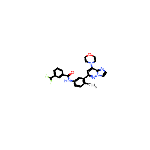 Cc1ccc(NC(=O)c2cccc(C(F)F)c2)cc1-c1cc(N2CCOCC2)c2nccn2n1